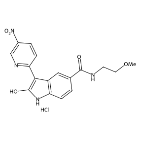 COCCNC(=O)c1ccc2[nH]c(O)c(-c3ccc([N+](=O)[O-])cn3)c2c1.Cl